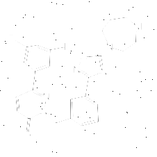 O=c1ccc(-c2cc(F)cc(F)c2)nn1Cc1cccc(-c2noc(N3CCCNCC3)n2)c1